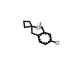 N#CC1(Cc2ccc(Cl)cc2F)CCC1